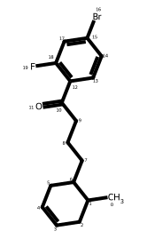 CC1CC=CCC1CCCC(=O)c1ccc(Br)cc1F